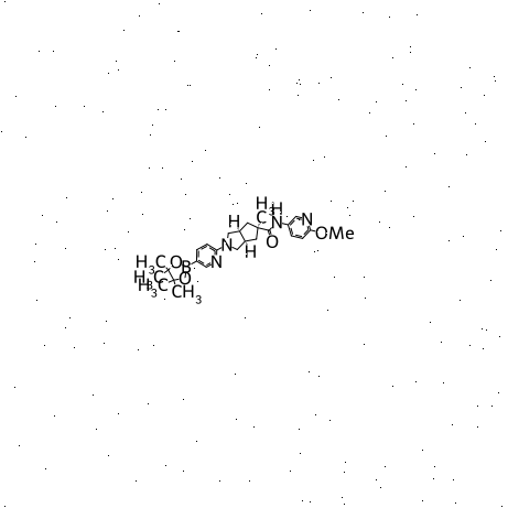 COc1ccc(NC(=O)[C@@]2(C)C[C@H]3CN(c4ccc(B5OC(C)(C)C(C)(C)O5)cn4)C[C@H]3C2)cn1